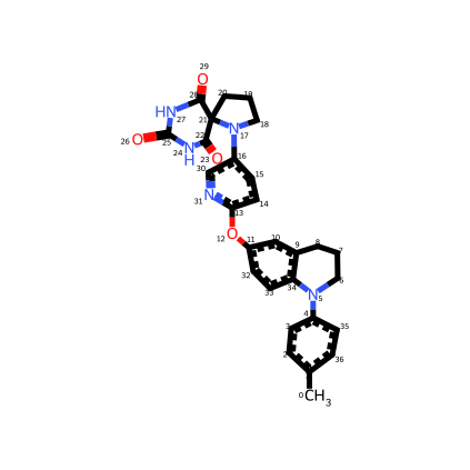 Cc1ccc(N2CCCc3cc(Oc4ccc(N5CCCC56C(=O)NC(=O)NC6=O)cn4)ccc32)cc1